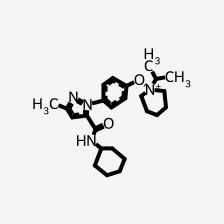 Cc1cc(C(=O)NC2CCCCC2)n(-c2ccc(O[N+]3(C(C)C)CCCCC3)cc2)n1